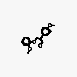 COc1ccc(C(C=O)COc2ccccc2OC)cc1